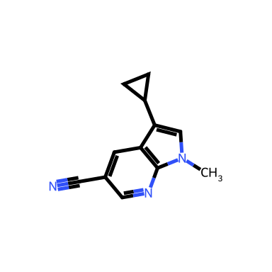 Cn1cc(C2CC2)c2cc(C#N)cnc21